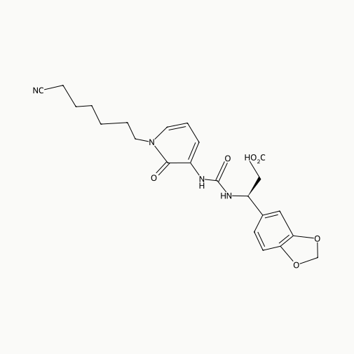 N#CCCCCCCn1cccc(NC(=O)N[C@@H](CC(=O)O)c2ccc3c(c2)OCO3)c1=O